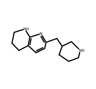 c1cc2c(nc1CC1CCCNC1)NCCC2